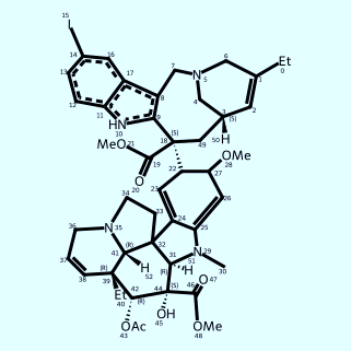 CCC1=C[C@H]2CN(C1)Cc1c([nH]c3ccc(I)cc13)[C@@](C(=O)OC)(C1C=C3C(=CC1OC)N(C)[C@@H]1C34CCN3CC=C[C@](CC)([C@H]34)[C@@H](OC(C)=O)[C@]1(O)C(=O)OC)C2